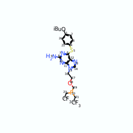 CC(C)COc1ccc(Sc2nc(N)nc3c2ncn3CCOCP(CC(F)(F)F)CC(F)(F)F)cc1